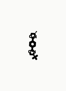 C[C@H]1COC(c2ccc(C3=N[C@@H](C(C)(C)C)CO3)cc2)=N1